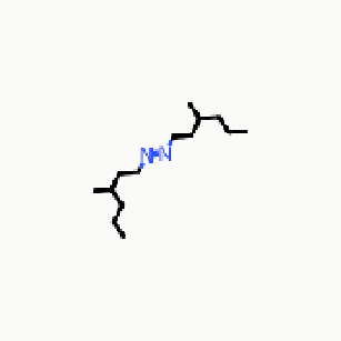 CCCC(C)CCN=NCCC(C)CCC